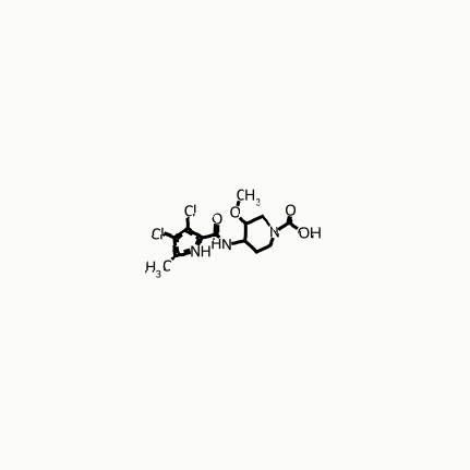 COC1CN(C(=O)O)CCC1NC(=O)c1[nH]c(C)c(Cl)c1Cl